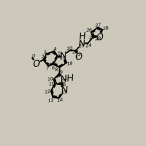 COc1ccc2c(c1)c(-c1cc3cccnc3[nH]1)cn2CC(=O)NCc1ccco1